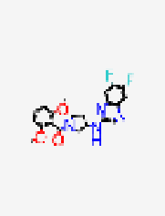 COc1cccc(OC)c1C(=O)N1CC[C@@H](Nc2cnc3cc(F)c(F)cc3n2)C1